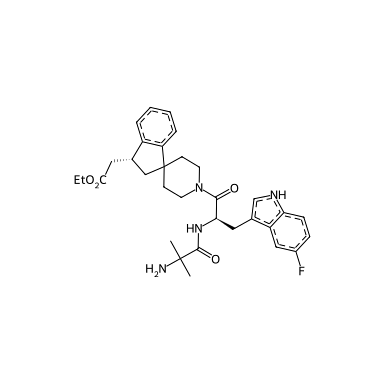 CCOC(=O)C[C@H]1CC2(CCN(C(=O)[C@@H](Cc3c[nH]c4ccc(F)cc34)NC(=O)C(C)(C)N)CC2)c2ccccc21